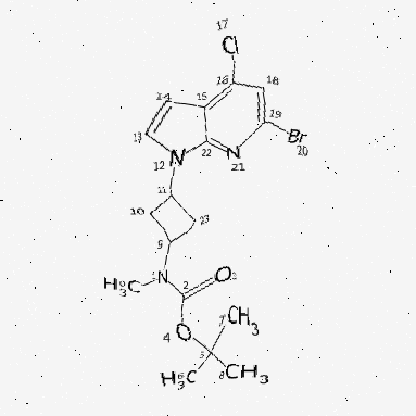 CN(C(=O)OC(C)(C)C)C1CC(n2ccc3c(Cl)cc(Br)nc32)C1